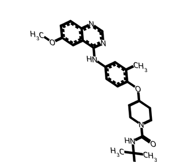 COc1ccc2ncnc(Nc3ccc(OC4CCN(C(=O)NC(C)(C)C)CC4)c(C)c3)c2c1